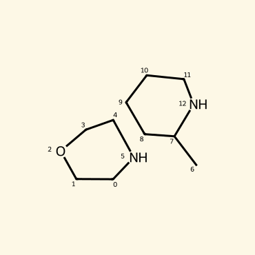 C1COCCN1.CC1CCCCN1